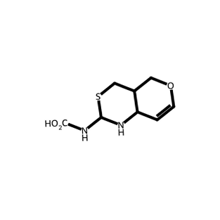 O=C(O)NC1NC2C=COCC2CS1